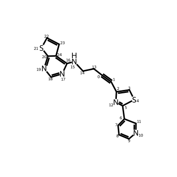 C(#Cc1csc(-c2cccnc2)n1)CCNc1ncnc2sccc12